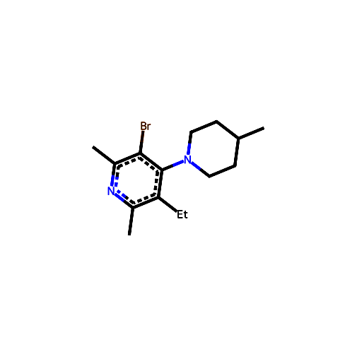 CCc1c(C)nc(C)c(Br)c1N1CCC(C)CC1